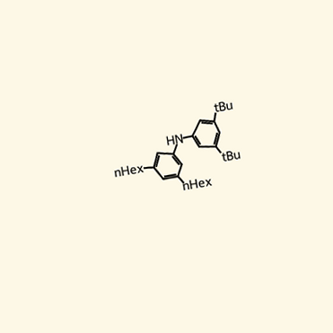 CCCCCCc1cc(CCCCCC)cc(Nc2cc(C(C)(C)C)cc(C(C)(C)C)c2)c1